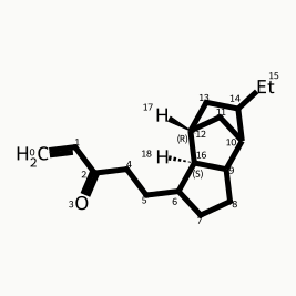 C=CC(=O)CCC1CCC2C3C[C@@H](CC3CC)[C@H]12